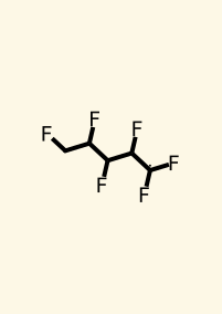 FCC(F)C(F)C(F)[C](F)F